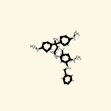 COc1ccc(C(C)(c2ccc(OC)cc2)[C@H](Cc2ccc(OCc3ccccc3)c(OC)c2)C(=O)O)cc1